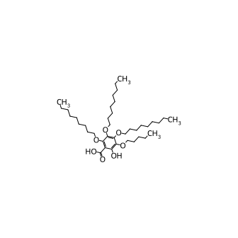 CCCCCCCCCOc1c(OCCCCC)c(O)c(C(=O)O)c(OCCCCCCCCC)c1OCCCCCCCCC